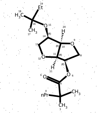 CCCC(C)(C)C(=O)O[C@@H]1CO[C@H]2[C@@H]1OC[C@H]2OC(C)(C)CC